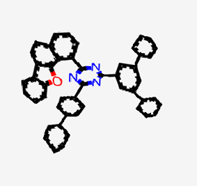 c1ccc(-c2ccc(-c3nc(-c4cc(-c5ccccc5)cc(-c5ccccc5)c4)nc(-c4cccc5ccc6c7ccccc7oc6c45)n3)cc2)cc1